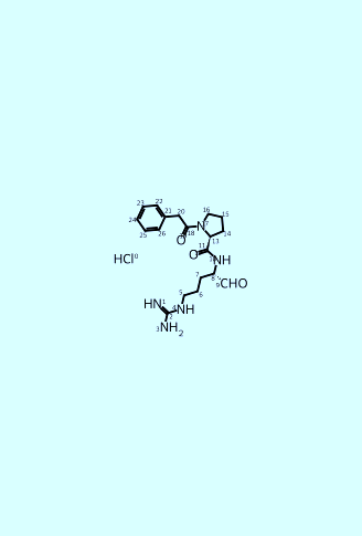 Cl.N=C(N)NCCC[C@@H](C=O)NC(=O)[C@@H]1CCCN1C(=O)Cc1ccccc1